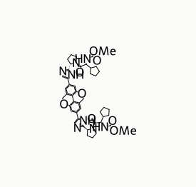 COC(=O)N[C@H](C(=O)N1CCC[C@H]1c1ncc(-c2cc3c4c(c2)OCc2cc(-c5cnc([C@@H]6CCCN6C(=O)[C@@H](NC(=O)OC)C6CCCC6)[nH]5)cc(c2-4)OC3)[nH]1)C1CCCC1